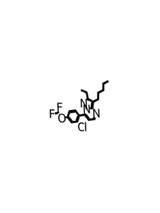 CCCCCc1c(CC)nn2c(-c3ccc(OC(F)F)cc3Cl)ccnc12